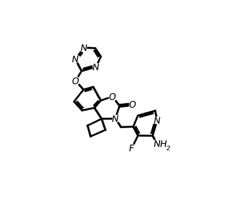 Nc1nccc(CN2C(=O)Oc3cc(Oc4nccnn4)ccc3C23CCC3)c1F